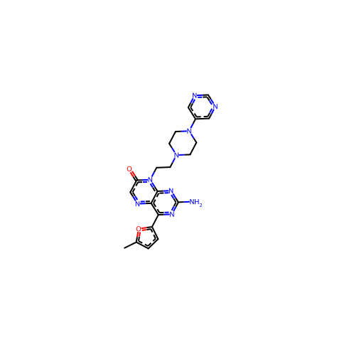 Cc1ccc(-c2nc(N)nc3c2ncc(=O)n3CCN2CCN(c3cncnc3)CC2)o1